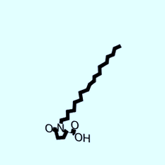 CCCCCCCCCCCCCCCCCCN1C(=O)CC[C@H]1C(=O)O